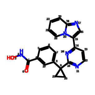 O=C(NO)c1cccc(C2(c3nccc(-c4cnc5ccccn45)n3)CC2)c1